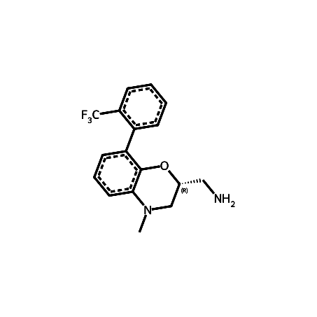 CN1C[C@@H](CN)Oc2c(-c3ccccc3C(F)(F)F)cccc21